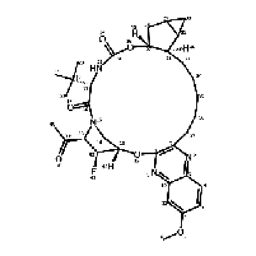 COc1ccc2nc3c(nc2c1)O[C@H]1CN(C(=O)[C@H](C(C)(C)C)NC(=O)O[C@@H]2CC4CC4[C@H]2CCCCC3)[C@H](C(C)=O)[C@@H]1F